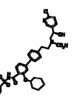 O=C(NS(=O)(=O)CCO)c1ccc(-c2ccc(CCN(C[C@H](O)c3ccc(Cl)nc3)C(=O)O)cc2)cc1OC1CCCCC1